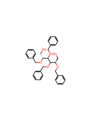 OC[C@@H](OCc1ccccc1)C(OCc1ccccc1)[C@H](OCc1ccccc1)[C@@H](CO)OCc1ccccc1